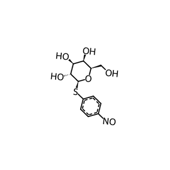 O=Nc1ccc(S[C@@H]2O[C@H](CO)[C@H](O)[C@H](O)[C@H]2O)cc1